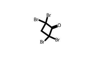 O=C1C(Br)(Br)CC1(Br)Br